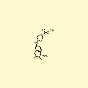 CC(=O)N1c2ccc(NC3CCN(C(=O)OC(C)(C)C)CC3)cc2CC(C)[C@@H]1C